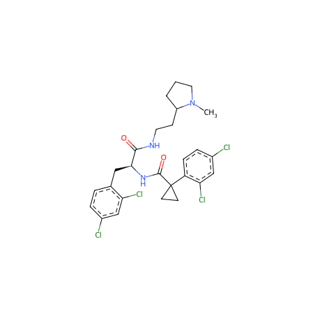 CN1CCCC1CCNC(=O)[C@H](Cc1ccc(Cl)cc1Cl)NC(=O)C1(c2ccc(Cl)cc2Cl)CC1